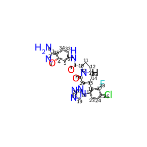 Nc1noc2cc(NC(=O)[C@@H]3CC[C@H]4CC(c5c(-n6cnnn6)ccc(Cl)c5F)=CC(=O)N43)ccc12